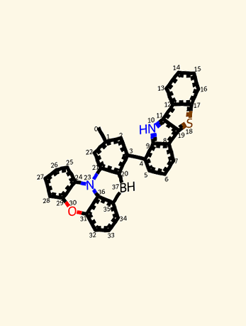 Cc1cc(-c2cccc3c2[nH]c2c4ccccc4sc32)c2c(c1)N1c3ccccc3Oc3cccc(c31)B2